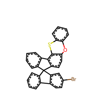 Brc1ccc2c(c1)C1(c3ccccc3-2)c2ccccc2-c2c1ccc1c2Sc2ccccc2O1